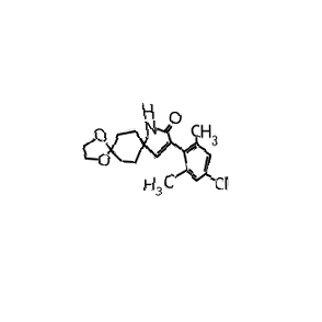 Cc1cc(Cl)cc(C)c1C1=CC2(CCC3(CC2)OCCO3)NC1=O